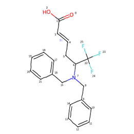 O=C(O)/C=C/CC(N(Cc1ccccc1)Cc1ccccc1)C(F)(F)F